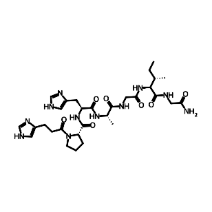 CC[C@H](C)[C@H](NC(=O)CNC(=O)[C@H](C)NC(=O)[C@H](Cc1c[nH]cn1)NC(=O)[C@@H]1CCCN1C(=O)CCc1c[nH]cn1)C(=O)NCC(N)=O